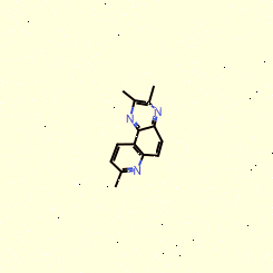 Cc1ccc2c(ccc3nc(C)c(C)nc32)n1